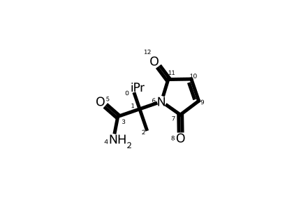 CC(C)C(C)(C(N)=O)N1C(=O)C=CC1=O